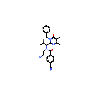 Cc1nc(C(C(C)C)N(CCN)C(=O)c2ccc(C#N)cc2)n(Cc2ccccc2)c(=O)c1C